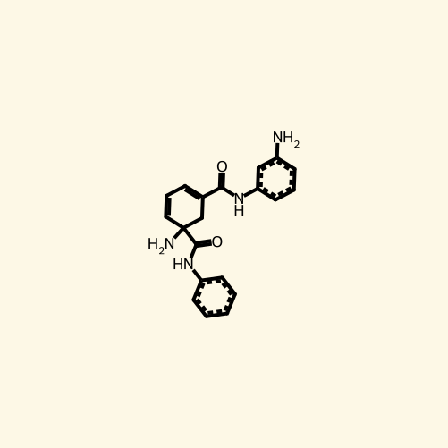 Nc1cccc(NC(=O)C2=CC=CC(N)(C(=O)Nc3ccccc3)C2)c1